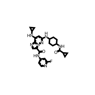 O=C(Nc1ccnc(F)c1)c1cnc2c(NC3CC3)cc(NC3CCC(NC(=O)C4CC4)CC3)nn12